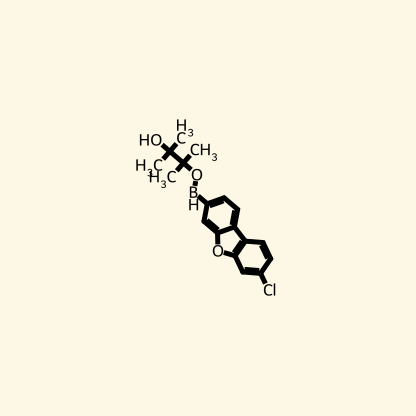 CC(C)(O)C(C)(C)OBc1ccc2c(c1)oc1cc(Cl)ccc12